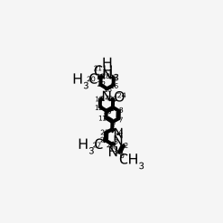 Cc1cn2nc(-c3ccc4c(c3)CCN(C3CCNC(C)(C)C3)C4=O)cc(C)c2n1